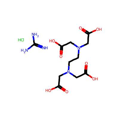 Cl.N=C(N)N.O=C(O)CN(CCN(CC(=O)O)CC(=O)O)CC(=O)O